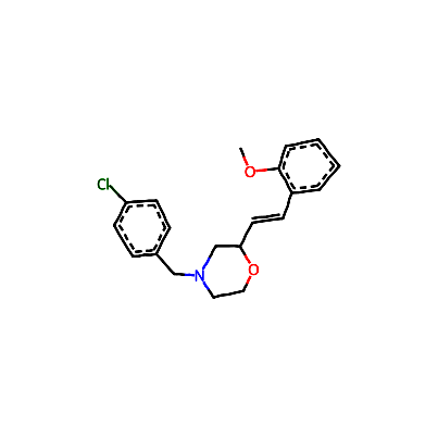 COc1ccccc1C=CC1CN(Cc2ccc(Cl)cc2)CCO1